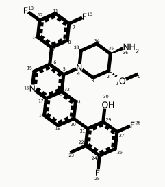 CO[C@@H]1CN(c2c(-c3cc(F)cc(F)c3)cnc3ccc(-c4c(C)c(F)cc(F)c4O)cc23)CC[C@H]1N